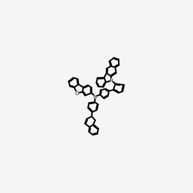 C1=CC(c2ccc(N(c3ccc(-c4ccccc4-n4c5ccccc5c5cc6ccccc6cc54)cc3)c3ccc4c(c3)oc3ccccc34)cc2)Cc2ccccc21